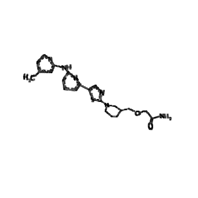 Cc1ccnc(Nc2cccc(-c3cnc(N4CCCC(COCC(N)=O)C4)s3)n2)c1